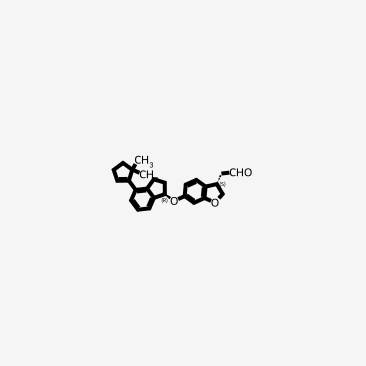 CC1(C)CCC=C1c1cccc2c1CC[C@H]2Oc1ccc2c(c1)OC[C@H]2CC=O